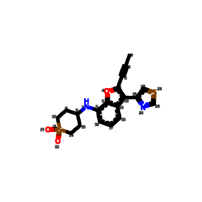 CC#Cc1oc2c(NC3CCS(=O)(=O)CC3)cccc2c1-c1cscn1